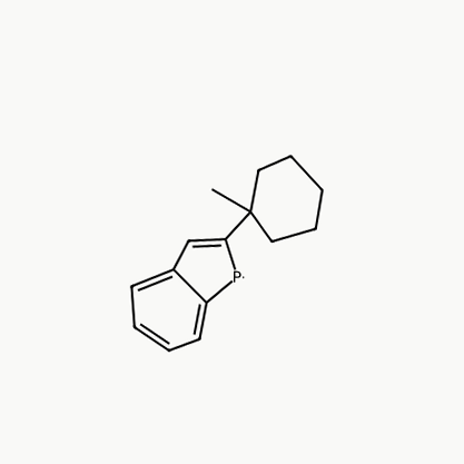 CC1(C2=Cc3ccccc3[P]2)CCCCC1